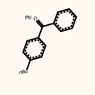 CCCCc1ccc(C(=O)c2ccccc2)cc1.[Pb]